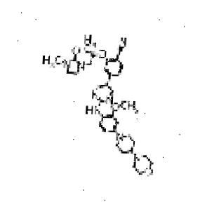 COc1cc(N2CCC(N3CCOCC3)CC2)ccc1Nc1ncc(-c2ccc(C#N)c(O[C@@H](C)CN3CCN(C)C3=O)c2)cn1